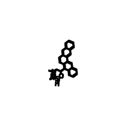 C[SiH]1CC(c2c3ccccc3cc3c2ccc2cc4ccccc4cc23)O[SiH](C)[SiH]1C